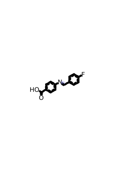 O=C(O)c1ccc(/N=C/c2ccc(F)cc2)cc1